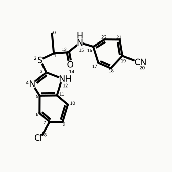 CC(Sc1nc2cc(Cl)ccc2[nH]1)C(=O)Nc1ccc(C#N)cc1